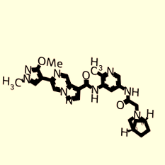 COc1nn(C)cc1-c1cn2ncc(C(=O)Nc3cc(NC(=O)CN4C[C@H]5CC[C@@H]4C5)cnc3C)c2cn1